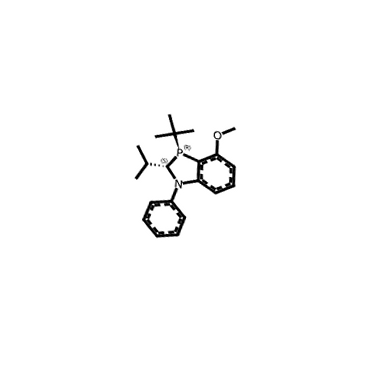 COc1cccc2c1[P@](C(C)(C)C)[C@@H](C(C)C)N2c1ccccc1